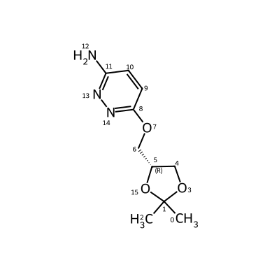 CC1(C)OC[C@@H](COc2ccc(N)nn2)O1